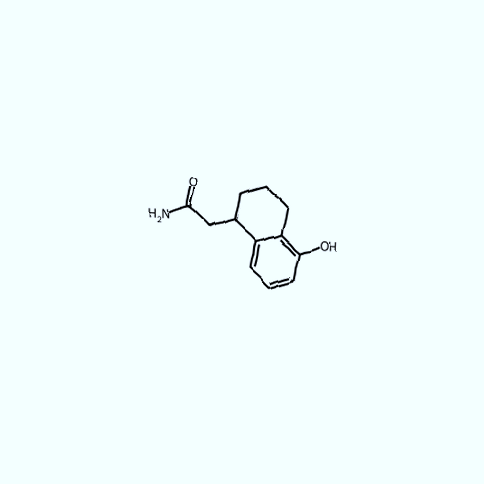 NC(=O)CC1CCCc2c(O)cccc21